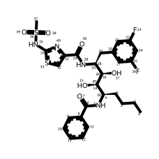 CCCC[C@@H](NC(=O)c1ccccc1)[C@@H](O)[C@H](O)[C@H](Cc1cc(F)cc(F)c1)NC(=O)c1csc(NS(C)(=O)=O)n1